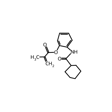 C=C(C)C(=O)Oc1ccccc1NC(=O)C1CCCCC1